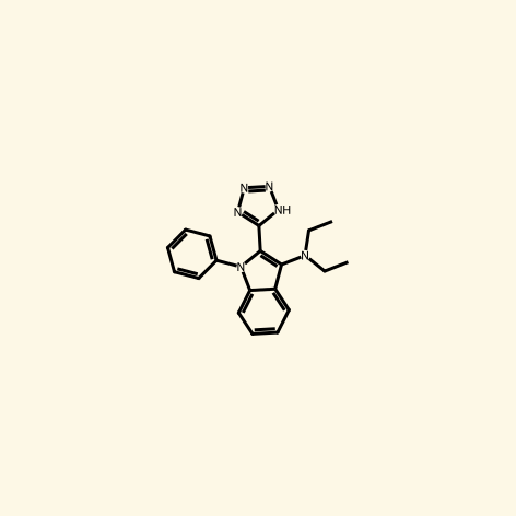 CCN(CC)c1c(-c2nnn[nH]2)n(-c2ccccc2)c2ccccc12